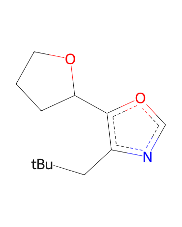 CC(C)(C)Cc1ncoc1C1CCCO1